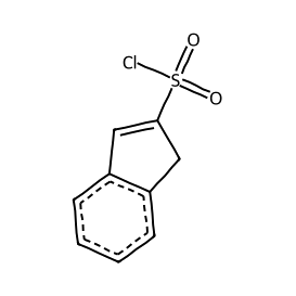 O=S(=O)(Cl)C1=Cc2ccccc2C1